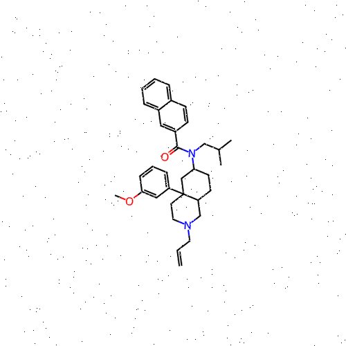 C=CCN1CCC2(c3cccc(OC)c3)CC(N(CC(C)C)C(=O)c3ccc4ccccc4c3)CCC2C1